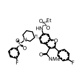 CCS(=O)(=O)Nc1cc2oc(-c3ccc(F)cc3)c(C(=O)NC)c2cc1[C@H]1CCCN(S(=O)(=O)c2cccc(F)c2)C1